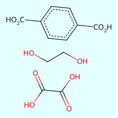 O=C(O)C(=O)O.O=C(O)c1ccc(C(=O)O)cc1.OCCO